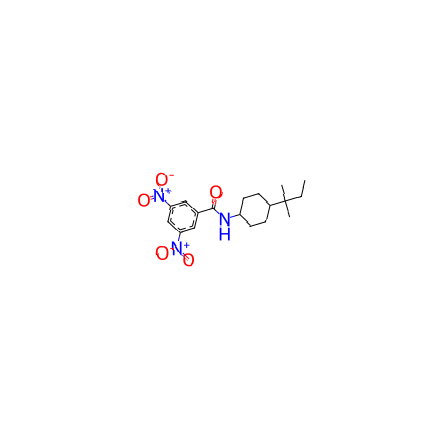 CCC(C)(C)C1CCC(NC(=O)c2cc([N+](=O)[O-])cc([N+](=O)[O-])c2)CC1